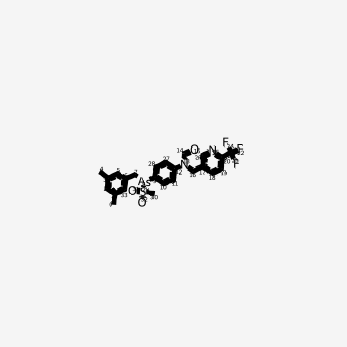 Cc1cc(C)cc(C[As](c2ccc(N(C=O)Cc3ccc(C(F)(F)F)nc3)cc2)S(C)(=O)=O)c1